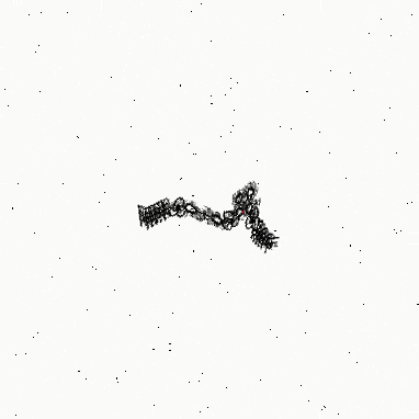 CCC(C)(c1ccc(OC(=O)OCC(F)(F)C(F)(F)C(F)(F)C(F)(F)C(F)(F)C(F)F)cc1)c1ccc(OC(=O)Oc2ccc(C3(c4ccc(OC(=O)OCC(F)(F)C(F)(F)C(F)(F)C(F)(F)C(F)(F)C(F)F)c(C)c4)c4ccccc4-c4ccccc43)cc2C)cc1